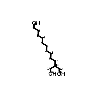 OCCCCCCCCCCC(CO)CO